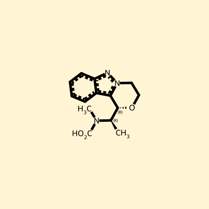 C[C@H]([C@H]1OCCn2nc3ccccc3c21)N(C)C(=O)O